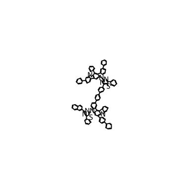 c1ccc(-c2ccc3c(c2)c2c4c5ccccc5n5c6cc(-c7ccccc7)ccc6c(cc2n3-c2nc(-c3ccc(-c6ccc(-c7ccc8c(c7)c7c9c%10ccccc%10n%10c%11cc(-c%12ccccc%12)ccc%11c(cc7n8-c7nc(-c8ccc%11ccccc%11c8)nc8c7sc7ccccc78)c9%10)cc6)cc3)c3sc6ccccc6c3n2)c45)cc1